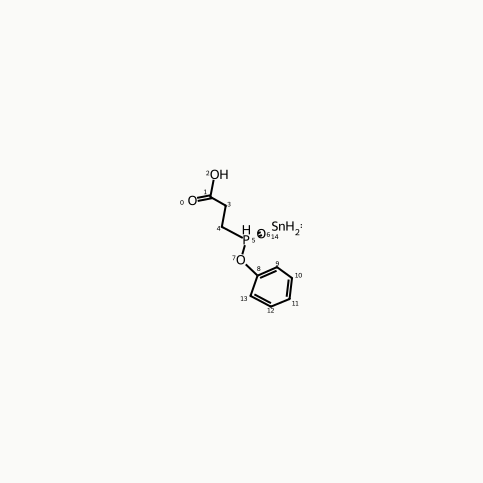 O=C(O)CC[PH](=O)Oc1ccccc1.[SnH2]